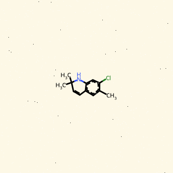 Cc1cc2c(cc1Cl)NC(C)(C)C=C2